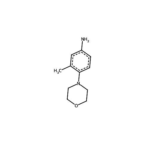 Cc1cc(N)ccc1N1CCOCC1